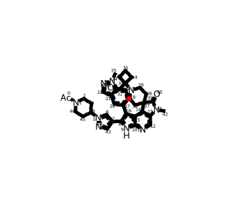 CC(=O)N1CCC(n2cc(-c3[nH]c4ncc5c(c4c3-c3ccc4c(cnn4C)c3)C3(CCN(C4(CC#N)CCC4)CC3)C(=O)N5C)cn2)CC1